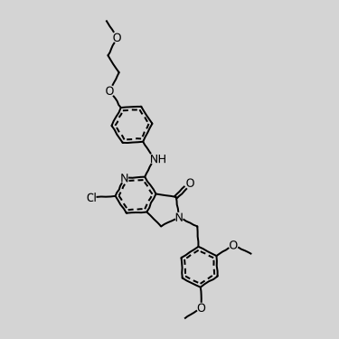 COCCOc1ccc(Nc2nc(Cl)cc3c2C(=O)N(Cc2ccc(OC)cc2OC)C3)cc1